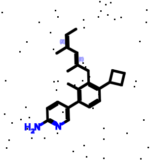 C/C=C(C)\C=C(/C)Cc1c(C2CCC2)ccc(-c2ccc(N)nc2)c1C